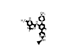 C=C1C=C(C(F)(F)F)C(C(=O)Nc2cc(-c3cnc(NC4CC4)nc3)c(F)cc2N2CCN(C)CC2)=CN1